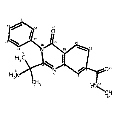 CC(C)(N)c1nc2cc(C(=O)NO)ccc2c(=O)n1-c1ccccc1